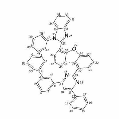 c1ccc(-c2cccc(-c3cc(-c4ccccc4)nc(-c4cccc5oc6c(-c7nc8ccccc8n7-c7ccccc7)cccc6c45)n3)c2)cc1